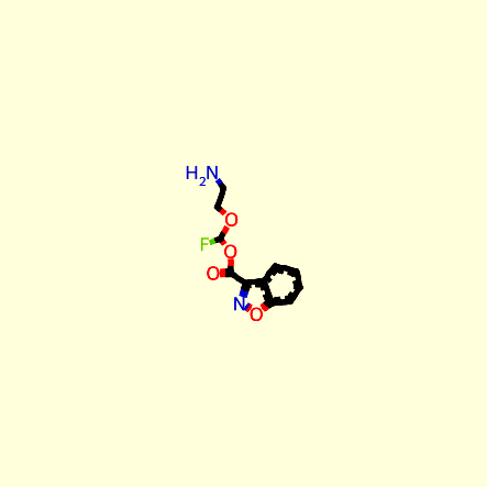 NCCOC(F)OC(=O)c1noc2ccccc12